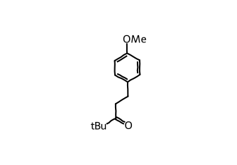 COc1ccc(CCC(=O)C(C)(C)C)cc1